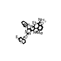 CCc1c(N)oc2ccc(F)c(-c3c(C)nc4c(N5CC6CCC(C5)N6)nc(OC[C@@]56CCCN5C[C@H](F)C6)nc4c3NC)c12